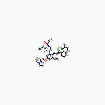 C=CC(=O)N1CCN(c2nc(OC[C@@]34CCCN3C[C@H](F)C4)nc(=C)/c2=C\C=C(/F)c2cccc3ccc(F)c(Cl)c23)C[C@@H]1CC#N